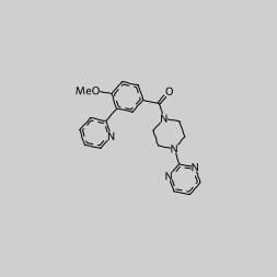 COc1ccc(C(=O)N2CCN(c3ncccn3)CC2)cc1-c1ccccn1